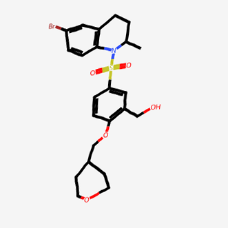 CC1CCc2cc(Br)ccc2N1S(=O)(=O)c1ccc(OCC2CCOCC2)c(CO)c1